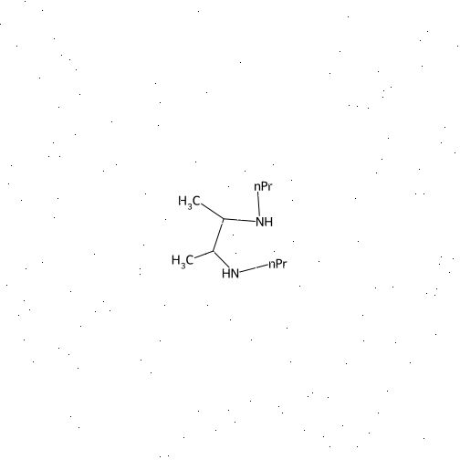 CCCNC(C)C(C)NCCC